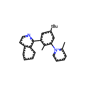 Cc1c(-c2nccc3ccccc23)cc(C(C)(C)C)cc1-[n+]1ccccc1C